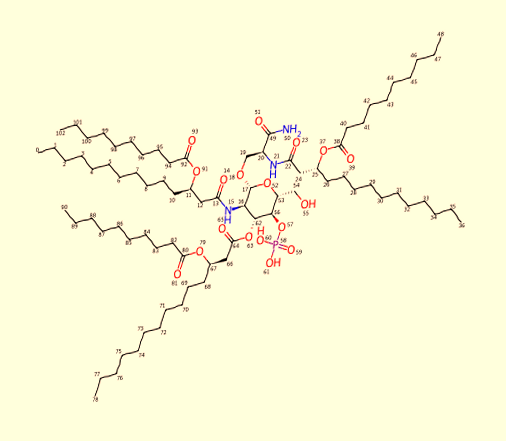 CCCCCCCCCCC[C@H](CC(=O)N[C@H]1[C@H](OC[C@H](NC(=O)C[C@@H](CCCCCCCCCCC)OC(=O)CCCCCCCCC)C(N)=O)O[C@H](CO)[C@@H](OP(=O)(O)O)[C@@H]1OC(=O)C[C@@H](CCCCCCCCCCC)OC(=O)CCCCCCCCC)OC(=O)CCCCCCCCC